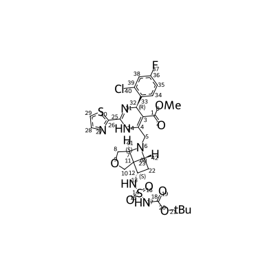 COC(=O)C1=C(CN2[C@@H]3COCC34[C@@H](NS(=O)(=O)NC(=O)OC(C)(C)C)C[C@@H]24)NC(c2nccs2)=N[C@H]1c1ccc(F)cc1Cl